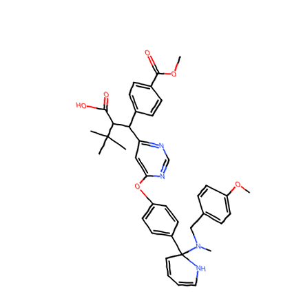 COC(=O)c1ccc(C(c2cc(Oc3ccc(C4(N(C)Cc5ccc(OC)cc5)C=CC=CN4)cc3)ncn2)C(C(=O)O)C(C)(C)C)cc1